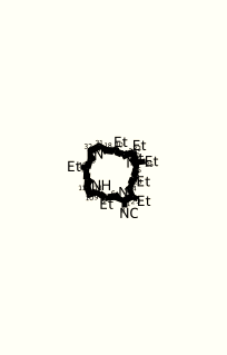 [C-]#[N+]C1=C(CC)c2nc1c(CC)c1ccc([nH]1)c(CC)c1nc(c(CC)c3c(CC)c(CC)c(c2CC)n3CC)C=C1